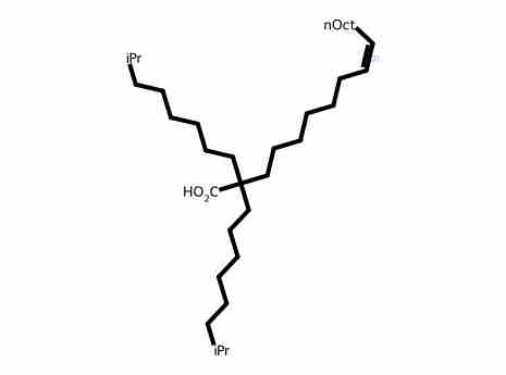 CCCCCCCC/C=C\CCCCCCC(CCCCCCC(C)C)(CCCCCCC(C)C)C(=O)O